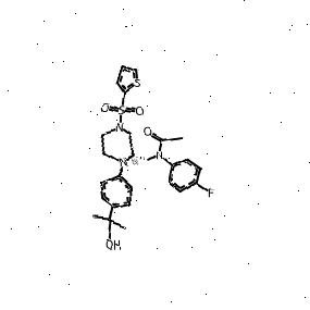 CC(=O)N(C[C@H]1CN(S(=O)(=O)c2cccs2)CCN1c1ccc(C(C)(C)O)cc1)c1ccc(F)cc1